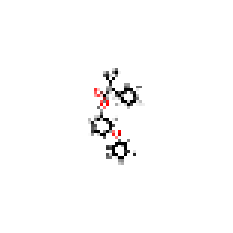 O=C(OCc1cccc(Oc2ccccc2)c1)C(c1ccccc1)C1CC1